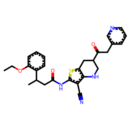 CCOc1ccccc1C(C)CC(=O)Nc1sc2c(c1C#N)NCC(C(=O)Cc1cccnc1)C2